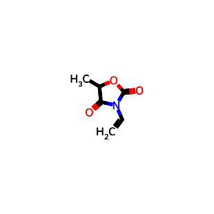 C=CN1C(=O)OC(C)C1=O